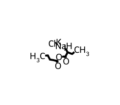 CCCC(=O)OC(=O)C(I)CC.[Cl][K].[NaH]